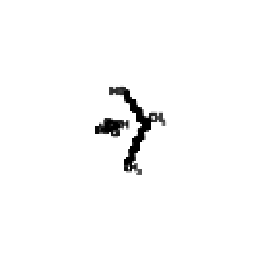 CCCCCCCCCC(C)CCCCCCO.O=S(=O)(O)O.[NaH]